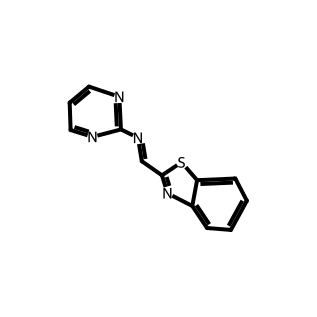 C(=Nc1ncccn1)c1nc2ccccc2s1